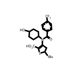 CC(C)(C)C1CC(N(C(=O)c2ccc(C(F)(F)F)cc2)C2CCC(O)CC2)=C(C(=O)O)S1